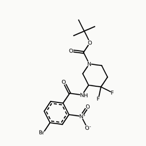 CC(C)(C)OC(=O)N1CCC(F)(F)C(NC(=O)c2ccc(Br)cc2[N+](=O)[O-])C1